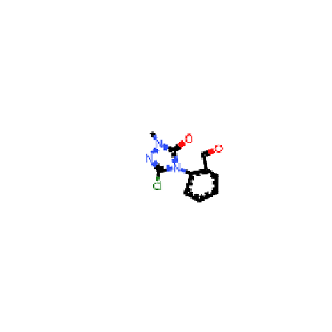 Cn1nc(Cl)n(-c2ccccc2C=O)c1=O